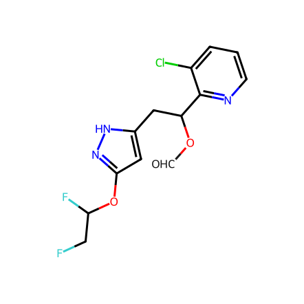 O=COC(Cc1cc(OC(F)CF)n[nH]1)c1ncccc1Cl